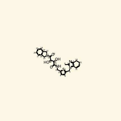 Cc1nc2c(n1Cc1ccc(CNC(=O)[C@H](O)[C@@H](O)C(=O)N3Cc4ccccc4C3)s1)C=CCC2